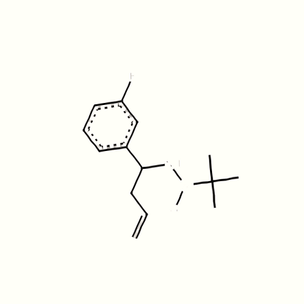 C=CCC(N[S+]([O-])C(C)(C)C)c1cccc(F)c1